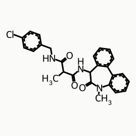 CC(C(=O)NCc1ccc(Cl)cc1)C(=O)NC1C(=O)N(C)c2ccccc2-c2ccccc21